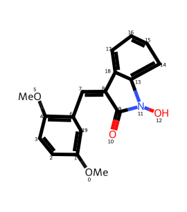 COc1ccc(OC)c(/C=C2\C(=O)N(O)c3ccccc32)c1